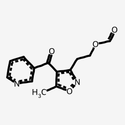 Cc1onc(CCOC=O)c1C(=O)c1cccnc1